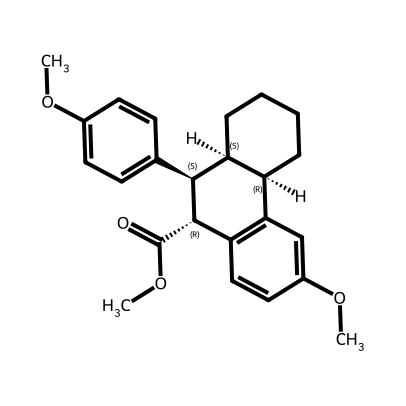 COC(=O)[C@H]1c2ccc(OC)cc2[C@@H]2CCCC[C@@H]2[C@@H]1c1ccc(OC)cc1